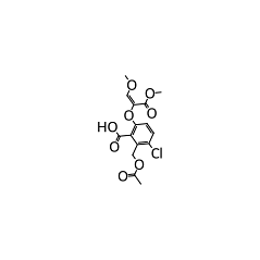 CO/C=C(/Oc1ccc(Cl)c(COC(C)=O)c1C(=O)O)C(=O)OC